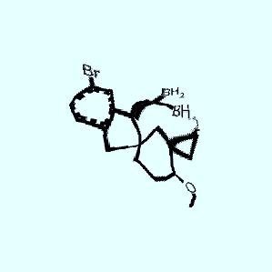 BC(B)=C1c2cc(Br)ccc2C[C@@]12CC[C@H](OC)C1(CC1)C2